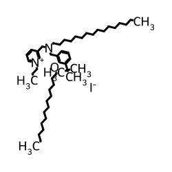 CCCCCCCCCCCCCCCCN(Cc1ccc[n+](CCC)c1)Cc1cccc(C(C)(C)C)c1OCCCCCCCCCCCCCC.[I-]